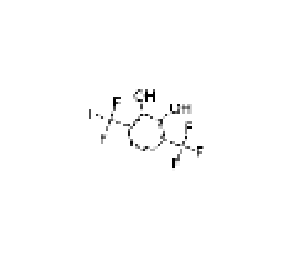 Oc1c(C(F)(F)F)ccc(C(F)(F)F)c1O